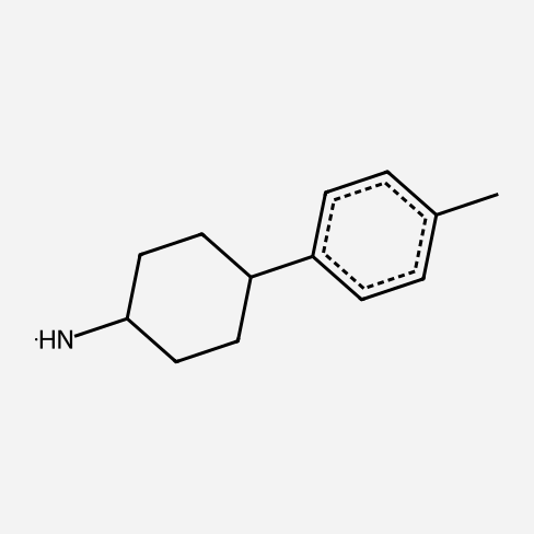 Cc1ccc(C2CCC([NH])CC2)cc1